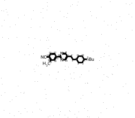 CCCCC1CCC(CCc2cnc(-c3ccc(C#N)c(C)c3)nc2)CC1